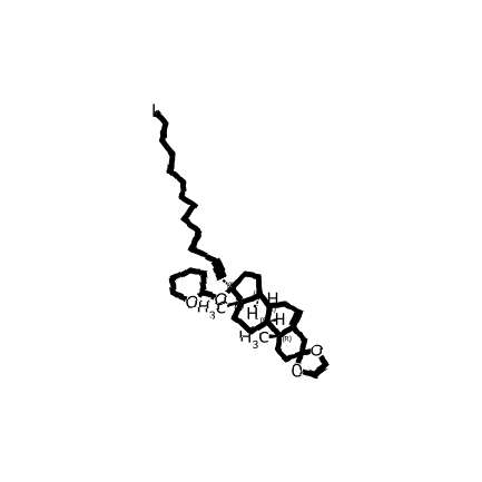 C[C@]12CCC3(CC1=CC[C@@H]1[C@@H]2CC[C@@]2(C)[C@H]1CC[C@]2(C#CCCCCCCCCCCI)OC1CCCCO1)OCCO3